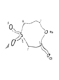 O=C1CS(=O)(=O)CCO1